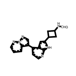 O=CNC1CC(c2cc3c(-c4cnn5ncccc45)ccnc3[nH]2)C1